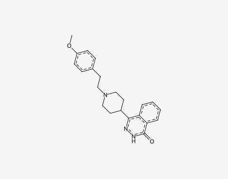 COc1ccc(CCN2CCC(c3n[nH]c(=O)c4ccccc34)CC2)cc1